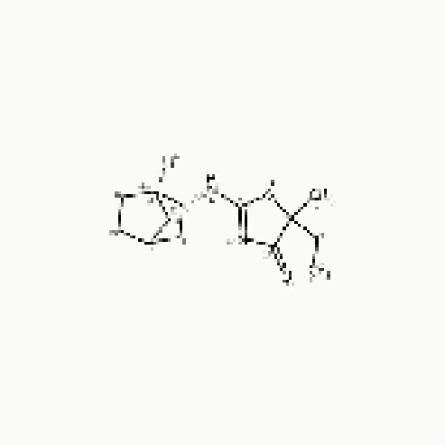 CC1(CC(F)(F)F)SC(N[C@@H]2CC3CC[C@@H]2C3)=NC1=O